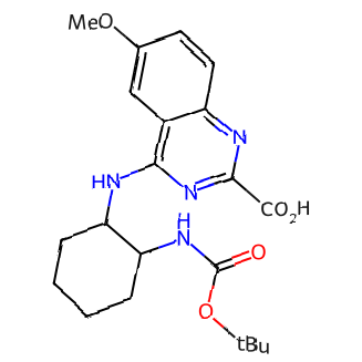 COc1ccc2nc(C(=O)O)nc(NC3CCCCC3NC(=O)OC(C)(C)C)c2c1